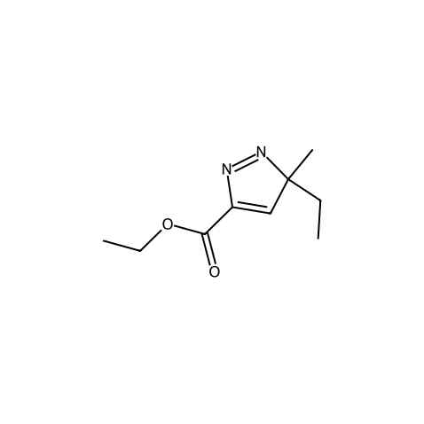 CCOC(=O)C1=CC(C)(CC)N=N1